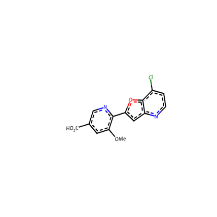 COc1cc(C(=O)O)cnc1-c1cc2nccc(Cl)c2o1